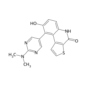 CN(C)c1ncc(-c2c(O)ccc3[nH]c(=O)c4sccc4c23)cn1